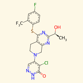 C[C@H](O)c1nc2c(c(Sc3ccc(F)cc3C(F)(F)F)n1)CCN(c1cn[nH]c(=O)c1Cl)C2